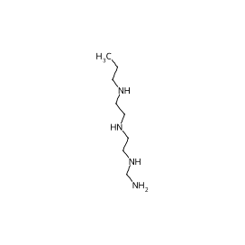 CCCNCCNCCNCN